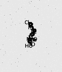 O=C(O)c1ccc2nc(CN3CCC(F)(c4cccc(OCc5ccc(Cl)cc5F)n4)CC3)n(CC3CCO3)c2c1